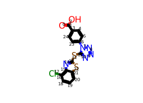 O=C(O)c1ccc(-n2nnnc2Sc2nc3c(Cl)cccc3s2)cc1